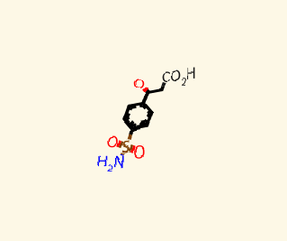 NS(=O)(=O)c1ccc(C(=O)CC(=O)O)cc1